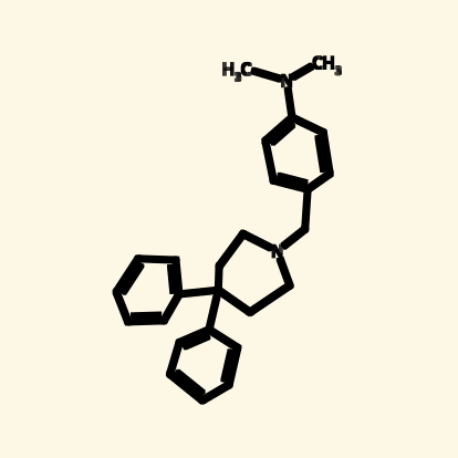 CN(C)c1ccc(CN2CCC(c3ccccc3)(c3ccccc3)CC2)cc1